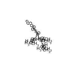 CC(C)(C)OC(=O)NCCCN(CCCCN(CCCNC(=O)OC(C)(C)C)C(=O)OC(C)(C)C)C(=O)CSSCC(=O)Oc1ccc2c(ccc3c4c(ccc32)C=CC4)c1